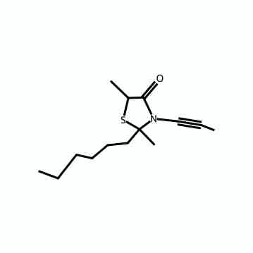 CC#CN1C(=O)C(C)SC1(C)CCCCCC